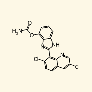 NC(=O)Oc1cccc2[nH]c(-c3c(Cl)ccc4cc(Cl)cnc34)nc12